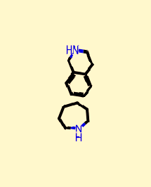 C1CCCNCC1.c1ccc2c(c1)CCNC2